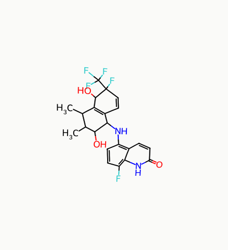 CC1C2=C(C=CC(F)(C(F)(F)F)C2O)C(Nc2ccc(F)c3[nH]c(=O)ccc23)C(O)C1C